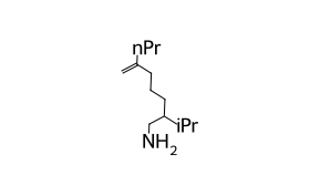 C=C(CCC)CCCC(CN)C(C)C